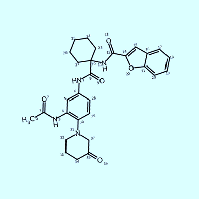 CC(=O)Nc1cc(NC(=O)C2(NC(=O)c3cc4ccccc4o3)CCCCC2)ccc1N1CCCC(=O)C1